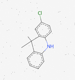 CC1(C)c2ccccc2Nc2ccc(Cl)cc21